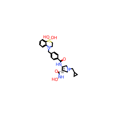 O=C(N[C@@H]1CN(CC2CC2)C[C@@H]1C(=O)NO)c1ccc(CN2CCS(O)(O)c3ccccc32)cc1